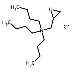 CCCC[N+](CCCC)(CCCC)CC1CO1.[Cl-]